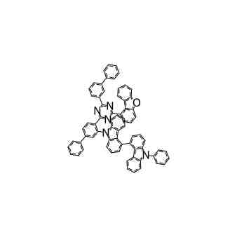 c1ccc(-c2cccc(-c3nc(-c4ccc(-c5ccccc5)cc4-n4c5ccccc5c5c(-c6cccc7c6c6ccccc6n7-c6ccccc6)cccc54)nc(-c4cccc5oc6ccccc6c45)n3)c2)cc1